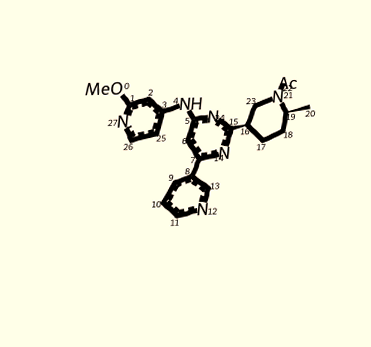 COc1cc(Nc2cc(-c3cccnc3)nc([C@@H]3CC[C@H](C)N(C(C)=O)C3)n2)ccn1